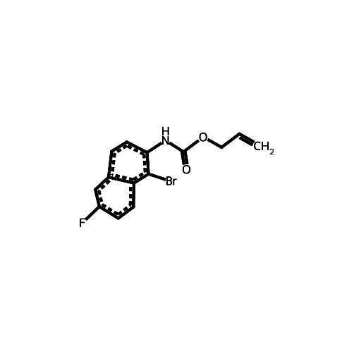 C=CCOC(=O)Nc1ccc2cc(F)ccc2c1Br